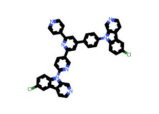 Clc1ccc2c(c1)c1ccncc1n2-c1ccc(-c2cc(-c3ccncc3)nc(-c3ccc(-n4c5ccc(Cl)cc5c5ccncc54)nc3)c2)cc1